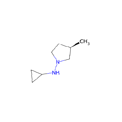 C[C@@H]1CCN(NC2CC2)C1